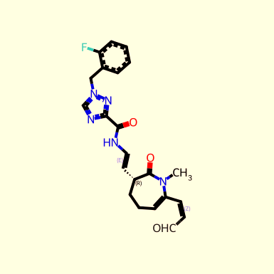 CN1C(=O)[C@@H](/C=C/NC(=O)c2ncn(Cc3ccccc3F)n2)CCC=C1/C=C\C=O